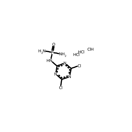 Cl.Cl.Cl.NP(N)(=O)Nc1nc(Cl)nc(Cl)n1